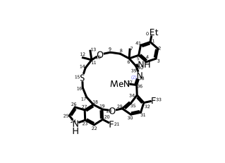 CCc1cccc(C2(C)CCOC(C)(C)CSCCc3c(c(F)cc4[nH]ccc34)Oc3ccc(F)c(c3)/C(NC)=N/C2=N)c1